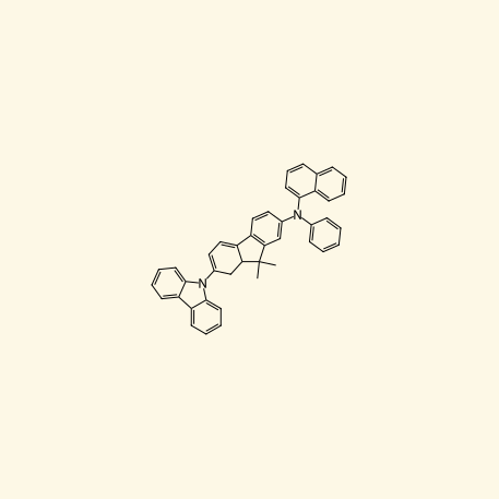 CC1(C)c2cc(N(c3ccccc3)c3cccc4ccccc34)ccc2C2=CC=C(n3c4ccccc4c4ccccc43)CC21